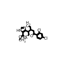 CCC(CC(=O)c1ccc(Cl)cc1Cl)C(CC)c1nc[nH]c1C(=O)OC